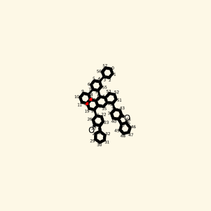 c1ccc(-c2ccc(-c3ccccc3)c(-c3c4cccc(-c5ccc6c(c5)oc5ccccc56)c4cc4c(-c5ccc6c(c5)oc5ccccc56)cccc34)c2)cc1